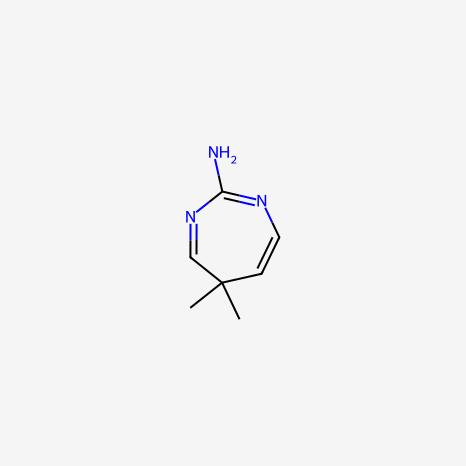 CC1(C)C=CN=C(N)N=C1